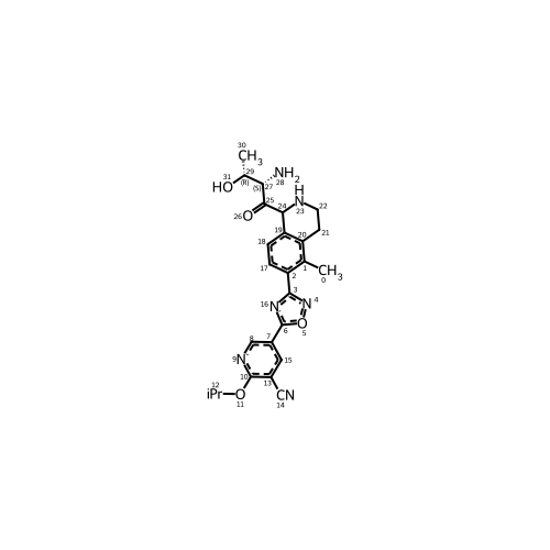 Cc1c(-c2noc(-c3cnc(OC(C)C)c(C#N)c3)n2)ccc2c1CCNC2C(=O)[C@@H](N)[C@@H](C)O